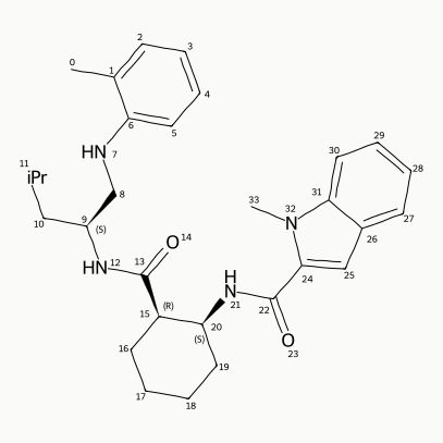 Cc1ccccc1NC[C@H](CC(C)C)NC(=O)[C@@H]1CCCC[C@@H]1NC(=O)c1cc2ccccc2n1C